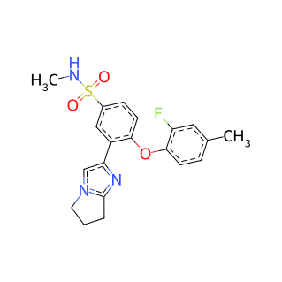 CNS(=O)(=O)c1ccc(Oc2ccc(C)cc2F)c(-c2cn3c(n2)CCC3)c1